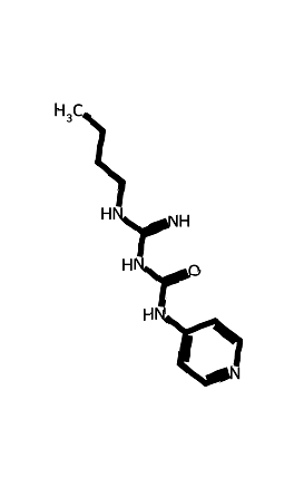 CCCCNC(=N)NC(=O)Nc1ccncc1